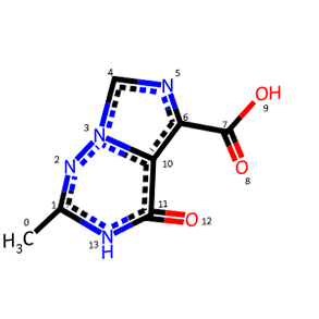 Cc1nn2cnc(C(=O)O)c2c(=O)[nH]1